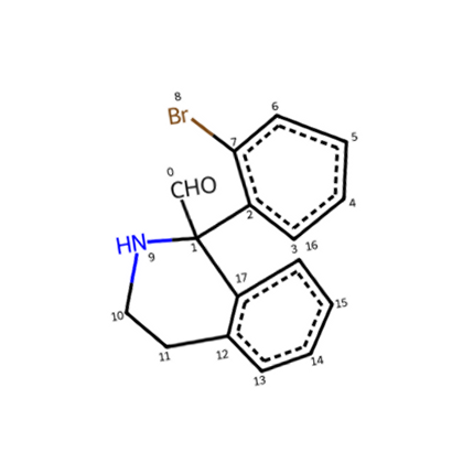 O=CC1(c2ccccc2Br)NCCc2ccccc21